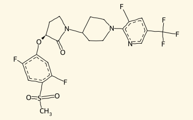 CS(=O)(=O)c1cc(F)c(O[C@H]2CCN(C3CCN(c4ncc(C(F)(F)F)cc4F)CC3)C2=O)cc1F